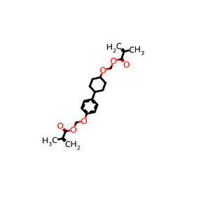 C=C(C)C(=O)OCOc1ccc(C2CCC(OCOC(=O)C(=C)C)CC2)cc1